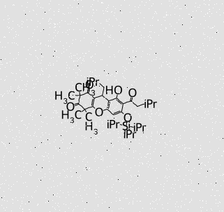 CC(C)CC(=O)c1c(O[Si](C(C)C)(C(C)C)C(C)C)cc2c(c1O)C(CC(C)C)C1=C(O2)C(C)(C)C(=O)C(C)(C)C1=O